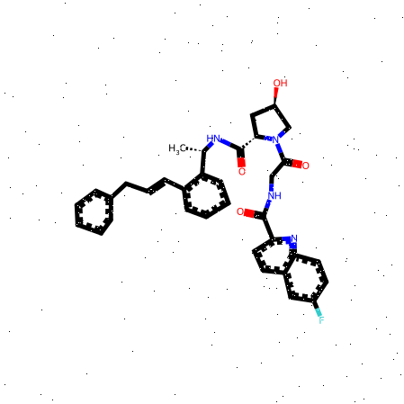 C[C@H](NC(=O)[C@@H]1C[C@@H](O)CN1C(=O)CNC(=O)c1ccc2cc(F)ccc2n1)c1ccccc1/C=C/Cc1ccccc1